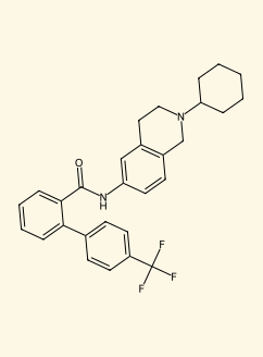 O=C(Nc1ccc2c(c1)CCN(C1CCCCC1)C2)c1ccccc1-c1ccc(C(F)(F)F)cc1